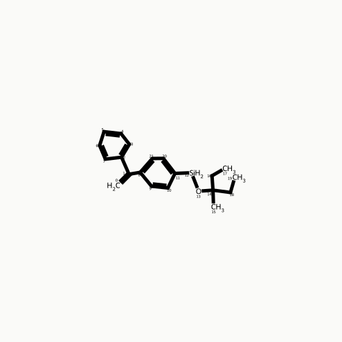 C=C(c1ccccc1)c1ccc([SiH2]OC(C)(CC)CC)cc1